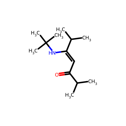 CC(C)C(=O)C=C(NC(C)(C)C)C(C)C